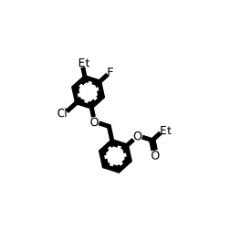 CCC(=O)Oc1ccccc1COc1cc(F)c(CC)cc1Cl